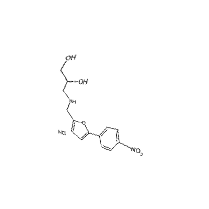 Cl.O=[N+]([O-])c1ccc(-c2ccc(CNCC(O)CO)o2)cc1